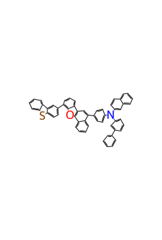 c1ccc(-c2cccc(N(c3ccc(-c4cc5c6cccc(-c7ccc8sc9ccccc9c8c7)c6oc5c5ccccc45)cc3)c3ccc4ccccc4c3)c2)cc1